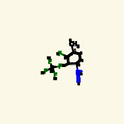 Cc1ccc([N+]#N)cc1F.F[B-](F)(F)F